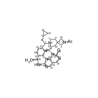 CC(=O)N1CC2(CCN(C(CC3CC3)c3ccc([C@H](C)Nc4ncc5cnc(=O)n(C(C)C)c5n4)cc3)CC2)C1